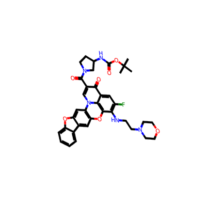 CC(C)(C)OC(=O)NC1CCN(C(=O)c2cn3c4c(c(NCCN5CCOCC5)c(F)cc4c2=O)Oc2cc4c(cc2-3)oc2ccccc24)C1